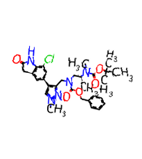 C[C@H](CN(Cc1nn(C)cc1-c1cc(Cl)c2c(c1)CC(=O)N2)C(=O)OCc1ccccc1)N(C)C(=O)OC(C)(C)C